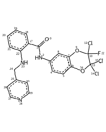 O=C(Nc1ccc2c(c1)OC(F)(Cl)C(Cl)(Cl)O2)c1ccccc1NCc1ccncc1